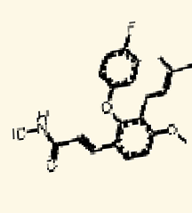 COc1ccc(/C=C/C(=O)NO)c(Oc2ccc(F)cc2)c1CC=C(C)C